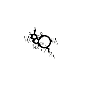 COCC[C@@]1(C)CCC(C)(C)CCCC(=O)/C=C2/[C@@]3(C)C=C(C#N)C(=O)C(C)(C)[C@@H]3CC[C@@]2(C)C(C)(C)CC1